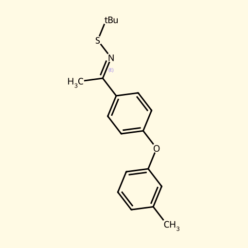 C/C(=N\SC(C)(C)C)c1ccc(Oc2cccc(C)c2)cc1